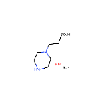 O=S(=O)(O)CCN1CCNCC1.[Na+].[OH-]